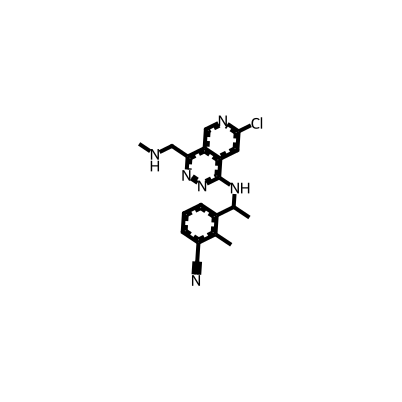 CNCc1nnc(NC(C)c2cccc(C#N)c2C)c2cc(Cl)ncc12